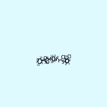 Clc1cccc(SCCCN2CCN(C3=COC(C4=CC=CCC4)=CO3)CC2)c1Cl